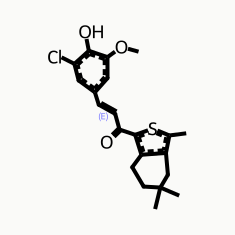 COc1cc(/C=C/C(=O)c2sc(C)c3c2CCC(C)(C)C3)cc(Cl)c1O